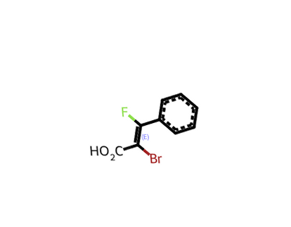 O=C(O)/C(Br)=C(\F)c1ccccc1